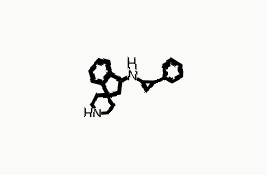 c1ccc(C2CC2NC2CC3(CCNCC3)c3ccccc32)cc1